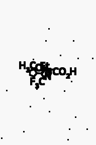 CCc1c(C2CCCC2(C)C)c(C(F)(F)F)nn1CC(=O)O